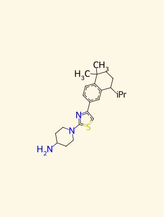 CC(C)C1CCC(C)(C)c2ccc(-c3csc(N4CCC(N)CC4)n3)cc21